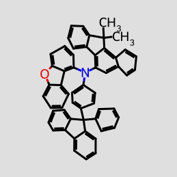 CC1(C)c2ccccc2-c2c(N(c3ccc(C4(c5ccccc5)c5ccccc5-c5ccccc54)cc3)c3cccc4oc5ccccc5c34)cc3ccccc3c21